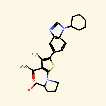 COC(=O)c1c(N2CCCC2CO)sc(-c2ccc3c(c2)ncn3C2CCCCC2)c1[N+](=O)[O-]